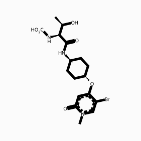 C[C@@H](O)[C@H](NC(=O)O)C(=O)N[C@H]1CC[C@H](Oc2cc(=O)n(C)cc2Br)CC1